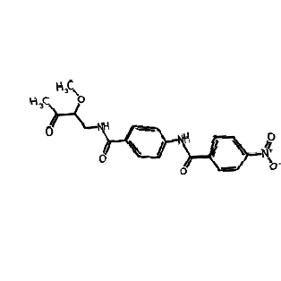 COC(CNC(=O)c1ccc(NC(=O)c2ccc([N+](=O)[O-])cc2)cc1)C(C)=O